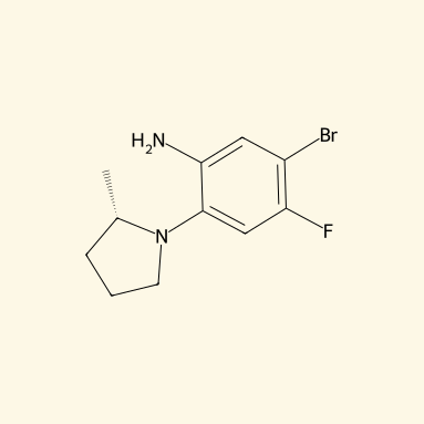 C[C@H]1CCCN1c1cc(F)c(Br)cc1N